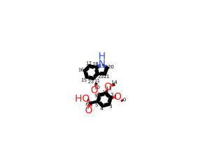 COc1ccc(C(=O)O)c(OC)c1OC.c1ccc2[nH]ccc2c1